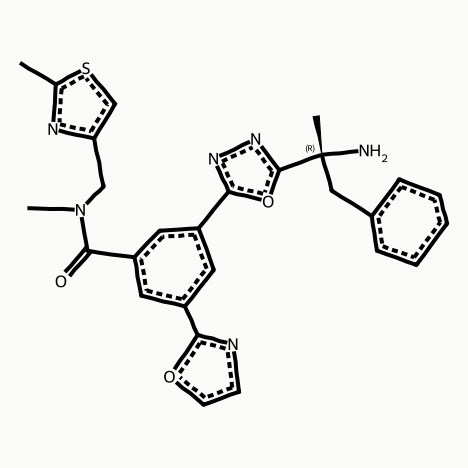 Cc1nc(CN(C)C(=O)c2cc(-c3ncco3)cc(-c3nnc([C@](C)(N)Cc4ccccc4)o3)c2)cs1